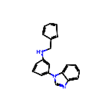 c1ccc(CNc2cccc(-n3cnc4ccccc43)c2)cc1